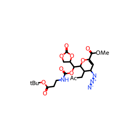 COC(=O)C1=CC(N=[N+]=[N-])C(CC(C)=O)C(C(OC(=O)NCCC(=O)OC(C)(C)C)C2COC(=O)O2)O1